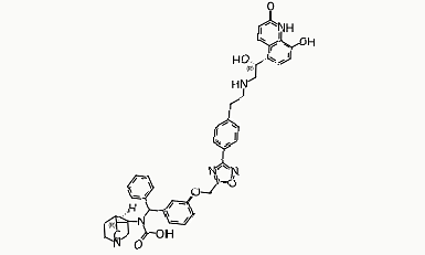 O=C(O)N(C(c1ccccc1)c1cccc(OCc2nc(-c3ccc(CCNC[C@H](O)c4ccc(O)c5[nH]c(=O)ccc45)cc3)no2)c1)[C@H]1CN2CCC1CC2